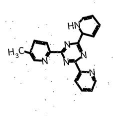 Cc1ccc(-c2nc(-c3ccccn3)nc(C3C=CC=CN3)n2)nc1